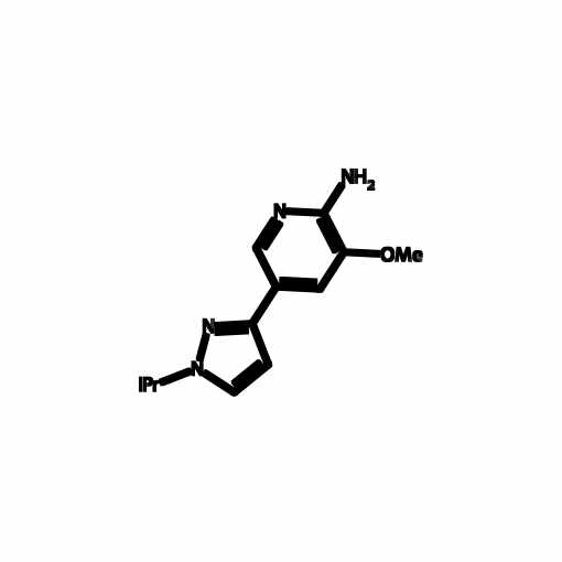 COc1cc(-c2ccn(C(C)C)n2)cnc1N